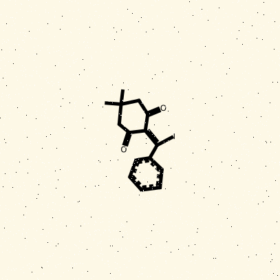 CC1(C)CC(=O)C(=C(I)c2ccccc2)C(=O)C1